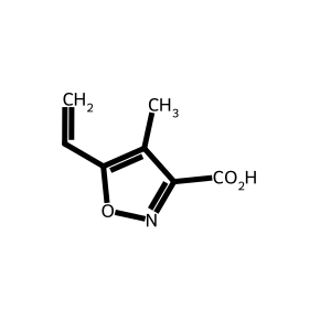 C=Cc1onc(C(=O)O)c1C